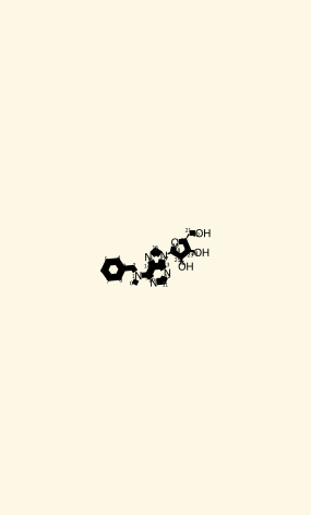 CN(Cc1ccccc1)c1ncnc2c1ncn2[C@@H]1O[C@H](CO)[C@@H](O)[C@H]1O